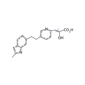 Cc1nc2cc(CCc3ccc(/C=C(\O)C(=O)O)nc3)ccc2s1